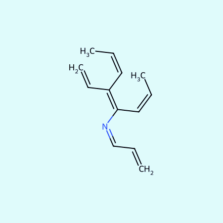 C=C\C=N/C(/C=C\C)=C(C=C)/C=C\C